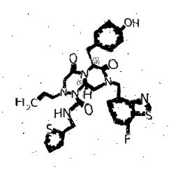 C=CCN1CC(=O)N2[C@@H](Cc3ccc(O)cc3)C(=O)N(Cc3ccc(F)c4scnc34)C[C@@H]2N1C(=O)NCc1cccs1